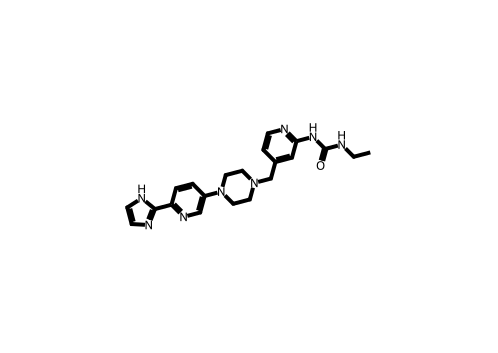 CCNC(=O)Nc1cc(CN2CCN(c3ccc(-c4ncc[nH]4)nc3)CC2)ccn1